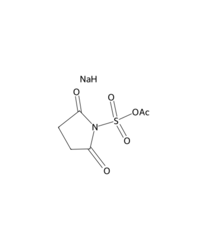 CC(=O)OS(=O)(=O)N1C(=O)CCC1=O.[NaH]